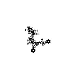 CC(C)[C@H](NC(=O)[C@H](CCCCNC(=O)OCc1ccccc1)NC(=O)OCc1ccccc1)C(=O)N[C@@H](C)C(=O)OC[C@H]1O[C@@H](n2cc(F)c(=O)[nH]c2=O)[C@H](O)[C@@H]1O